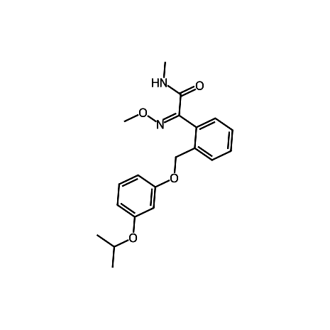 CNC(=O)/C(=N\OC)c1ccccc1COc1cccc(OC(C)C)c1